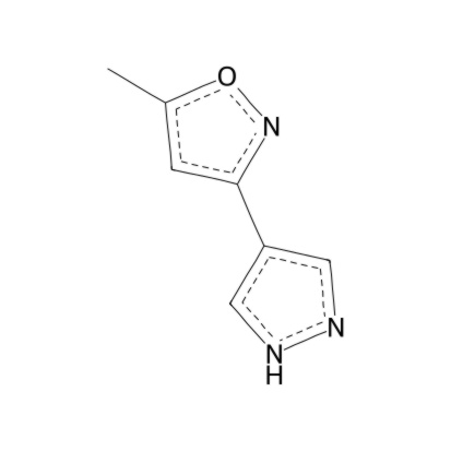 Cc1cc(-c2cn[nH]c2)no1